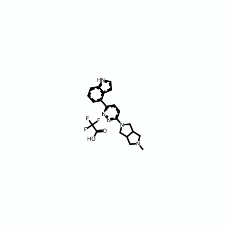 CN1CC2CN(c3ccc(-c4cccc5[nH]ccc45)nn3)CC2C1.O=C(O)C(F)(F)F